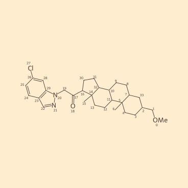 COCC1CCC2(C)C(CCC3C2CCC2(C)C(C(=O)Cn4ncc5ccc(Cl)cc54)CCC32)C1